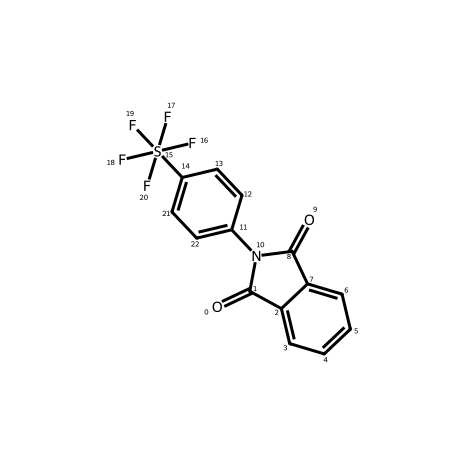 O=C1c2ccccc2C(=O)N1c1ccc(S(F)(F)(F)(F)F)cc1